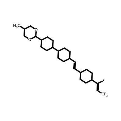 CC1COC(C2CCC(C3CCC(/C=C/C4CCC(/C(F)=C/C(F)(F)F)CC4)CC3)CC2)OC1